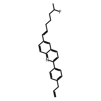 C=CCc1ccc(-c2ccc3cc(C=CCCCC(C)F)ccc3n2)cc1